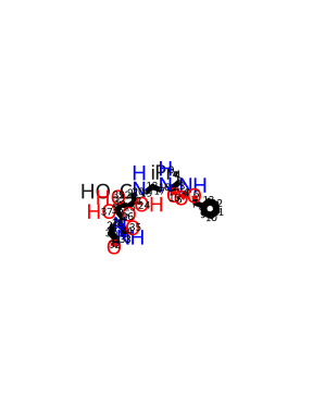 CC(C)C[C@H](NC(=O)OCc1ccccc1)C(=O)NCCCN[C@H](C(=O)O)[C@@H](O)C1O[C@@H](n2ccc(=O)[nH]c2=O)[C@H](O)[C@@H]1O